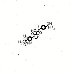 CC1(C)C(=O)Nc2cc(N3CCO[C@H]([C@@H](O)C(=O)Nc4ccc(C(=N)N)cc4)C3=O)ccc21